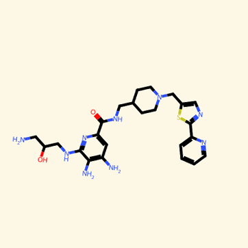 NCC(O)CNc1nc(C(=O)NCC2CCN(Cc3cnc(-c4ccccn4)s3)CC2)cc(N)c1N